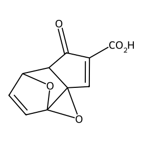 O=C(O)C1=CC23OC24C=CC(O4)C3C1=O